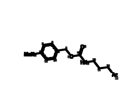 CNc1ccc(COC(=O)NCCCC(C)=O)cc1